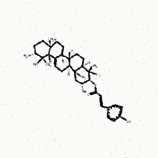 C[C@@H]1CC[C@]2(C(=O)O)CC[C@]3(C)C(=CC[C@@H]4[C@@]5(C)C[C@@H](O)[C@H](OC(=O)/C=C/c6ccc(O)cc6)C(C)(C)[C@@H]5CC[C@]43C)[C@@H]2[C@]1(C)O